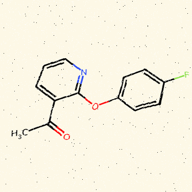 CC(=O)c1cccnc1Oc1ccc(F)cc1